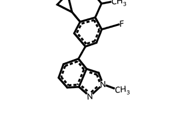 CC(C)c1c(F)cc(-c2cccc3nn(C)cc23)cc1C1CC1